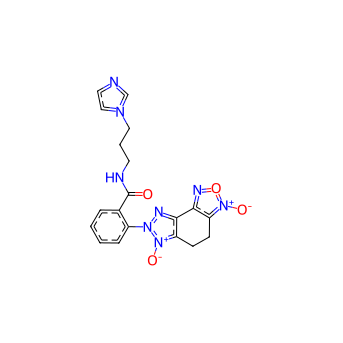 O=C(NCCCn1ccnc1)c1ccccc1-n1nc2c([n+]1[O-])CCc1c-2no[n+]1[O-]